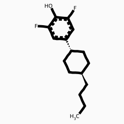 CCCC[C@H]1CC[C@H](c2cc(F)c(O)c(F)c2)CC1